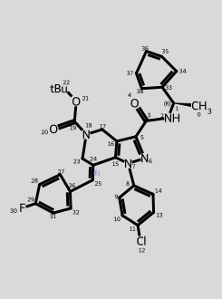 C[C@@H](NC(=O)c1nn(-c2ccc(Cl)cc2)c2c1CN(C(=O)OC(C)(C)C)C/C2=C\c1ccc(F)cc1)c1ccccc1